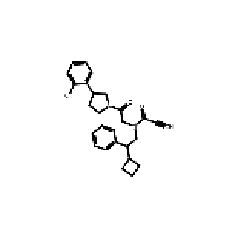 C#CC(=O)N(CC(=O)N1CCC(c2ccccc2Cl)C1)CC(c1ccccc1)C1CCC1